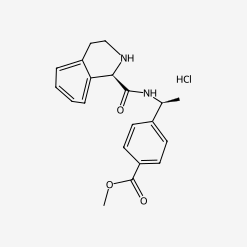 COC(=O)c1ccc([C@H](C)NC(=O)[C@@H]2NCCc3ccccc32)cc1.Cl